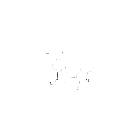 N=C1NC(=C2SC(=O)NC2=S)c2cc(Cl)c(Cl)cc21